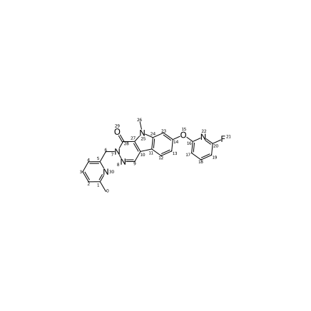 Cc1cccc(Cn2ncc3c4ccc(Oc5cccc(F)n5)cc4n(C)c3c2=O)n1